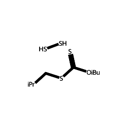 CC(C)COC(=S)SCC(C)C.SS